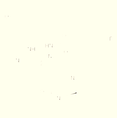 COc1cccc2c1CC[C@H]2Nc1nccc2cc(-c3c4c(nc(CCc5ccc(F)cc5)c3-c3n[nH]c(=O)o3)[C@]3(C)CCCN3C4=O)sc12